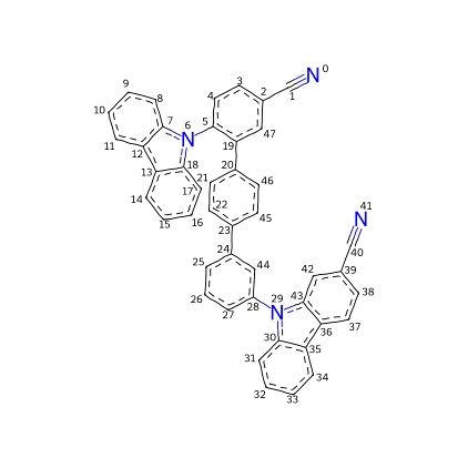 N#Cc1ccc(-n2c3ccccc3c3ccccc32)c(-c2ccc(-c3cccc(-n4c5ccccc5c5ccc(C#N)cc54)c3)cc2)c1